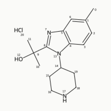 Cc1ccc2c(c1)nc(C(C)(C)O)n2C1CCNCC1.Cl